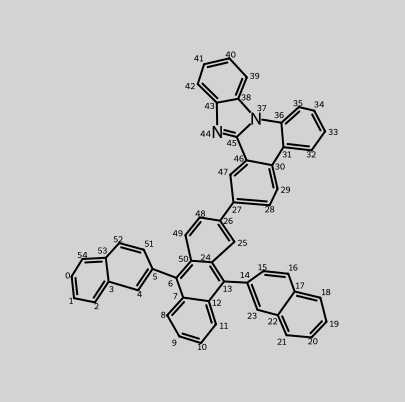 c1ccc2cc(-c3c4ccccc4c(-c4ccc5ccccc5c4)c4cc(-c5ccc6c7ccccc7n7c8ccccc8nc7c6c5)ccc34)ccc2c1